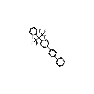 FC(F)(F)C(c1ccccc1)(c1ccc(-c2ccc(-c3ccccc3)cc2)cc1)C(F)(F)F